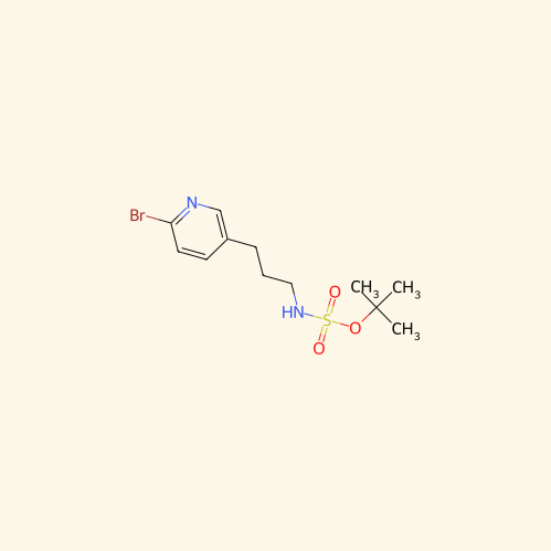 CC(C)(C)OS(=O)(=O)NCCCc1ccc(Br)nc1